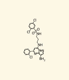 Bc1cnn2c(NCCCNS(=O)(=O)c3cc(Cl)ccc3Cl)cc(-c3ccccc3Cl)nc12